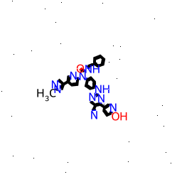 Cn1cc(-c2ccc(N(C(=O)NCc3ccccc3)c3ccc(Nc4ncc(C#N)c(-c5ccc(O)nc5)n4)cc3)nc2)cn1